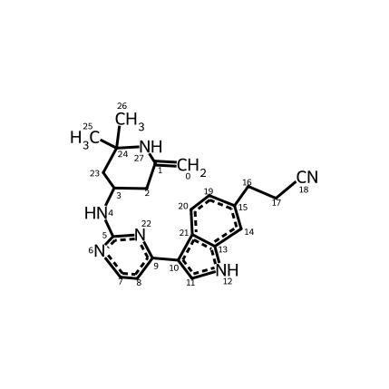 C=C1CC(Nc2nccc(-c3c[nH]c4cc(CCC#N)ccc34)n2)CC(C)(C)N1